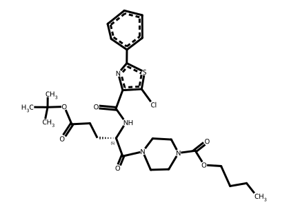 CCCCOC(=O)N1CCN(C(=O)[C@H](CCC(=O)OC(C)(C)C)NC(=O)c2nc(-c3ccccc3)sc2Cl)CC1